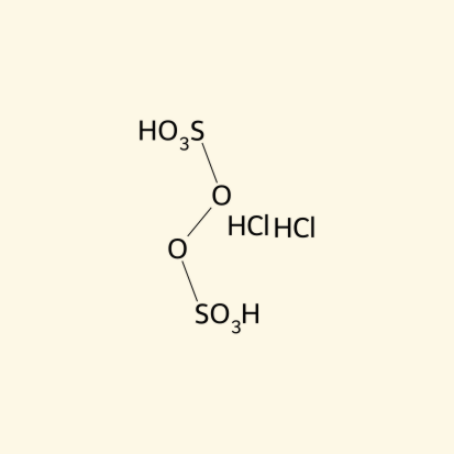 Cl.Cl.O=S(=O)(O)OOS(=O)(=O)O